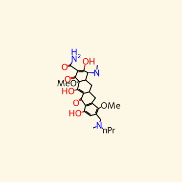 CCCN(C)Cc1cc(O)c2c(c1OC)CC1CC3[C@H](N(C)C)C(O)=C(C(N)=O)C(=O)[C@@]3(OC)C(O)=C1C2=O